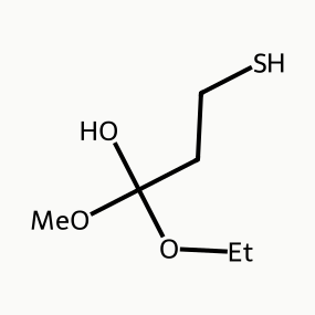 CCOC(O)(CCS)OC